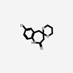 O=C1CC2(Cc3cc(Cl)ccc3N1)OCCCO2